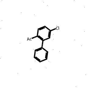 CC(=O)c1ccc(Cl)cc1-c1ccccc1